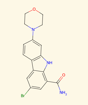 NC(=O)c1cc(Br)cc2c1[nH]c1cc(N3CCOCC3)ccc12